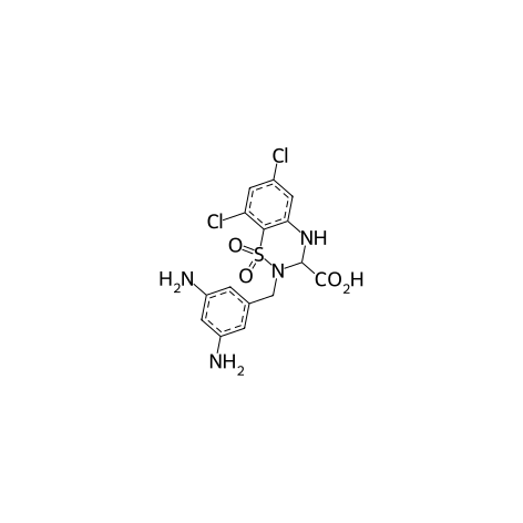 Nc1cc(N)cc(CN2C(C(=O)O)Nc3cc(Cl)cc(Cl)c3S2(=O)=O)c1